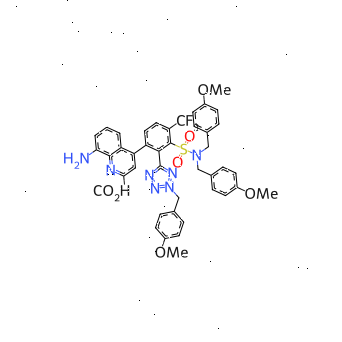 COc1ccc(CN(Cc2ccc(OC)cc2)S(=O)(=O)c2c(C(F)(F)F)ccc(-c3cc(C(=O)O)nc4c(N)cccc34)c2-c2nnn(Cc3ccc(OC)cc3)n2)cc1